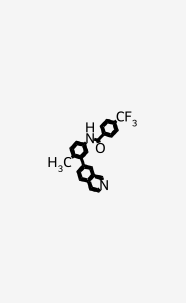 Cc1ccc(NC(=O)c2ccc(C(F)(F)F)cc2)cc1-c1ccc2ccncc2c1